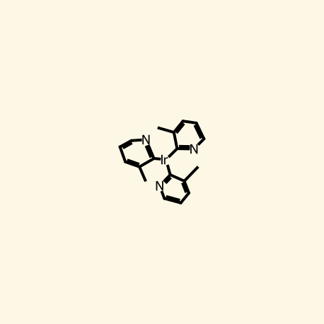 Cc1cccn[c]1[Ir]([c]1ncccc1C)[c]1ncccc1C